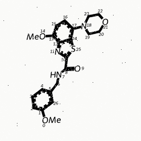 COc1cccc(CNC(=O)c2nc3c(OC)ccc(N4CCOCC4)c3s2)c1